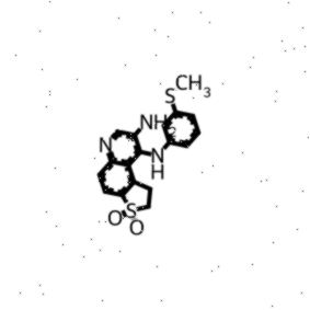 CSc1cccc(Nc2c(N)cnc3ccc4c(c23)CCS4(=O)=O)c1